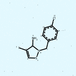 NC1C(I)=CSN1Cc1ccc(Cl)cc1